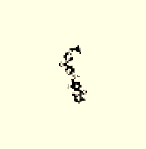 CC1C=CC(C)N1C(=O)c1ccc(CNc2ccc(C(=O)N3CCN(CC4CC4)CC3)cn2)c(F)c1